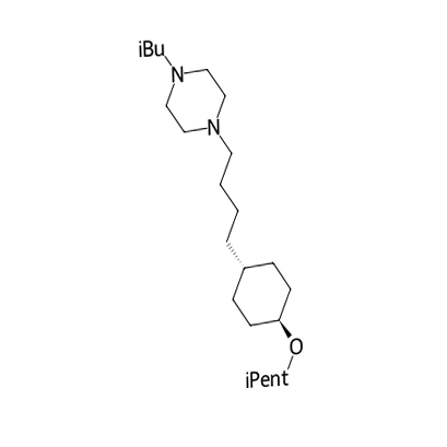 CCCC(C)O[C@H]1CC[C@H](CCCCN2CCN(C(C)CC)CC2)CC1